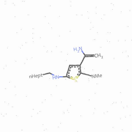 C=C(N)c1cc(NCCCCCCCC)sc1NC